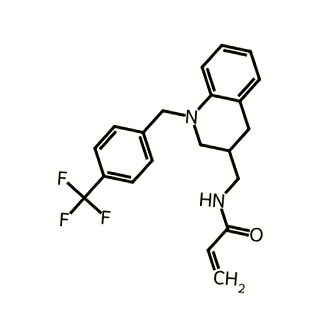 C=CC(=O)NCC1Cc2ccccc2N(Cc2ccc(C(F)(F)F)cc2)C1